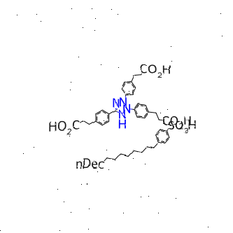 CCCCCCCCCCCCCCCCCCc1ccc(S(=O)(=O)O)cc1.O=C(O)CCc1ccc(C2=NN(c3ccc(CCC(=O)O)cc3)N(c3ccc(CCC(=O)O)cc3)N2)cc1